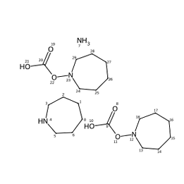 C1CCCNCC1.N.O=C(O)ON1CCCCCC1.O=C(O)ON1CCCCCC1